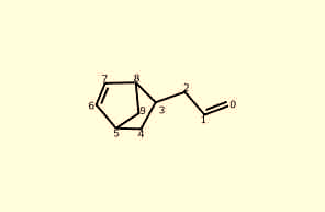 C=CCC1CC2C=CC1C2